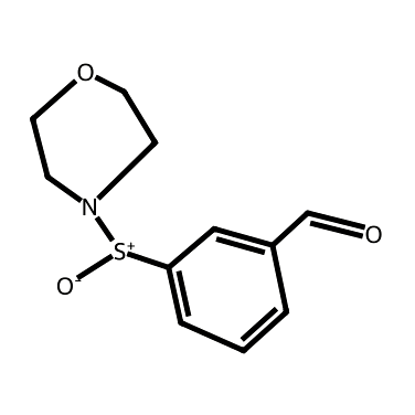 O=Cc1cccc([S+]([O-])N2CCOCC2)c1